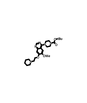 COc1cc2c(N3CCN(C(=O)OC(C)(C)C)CC3)ncnc2cc1OCCN1CCCCC1